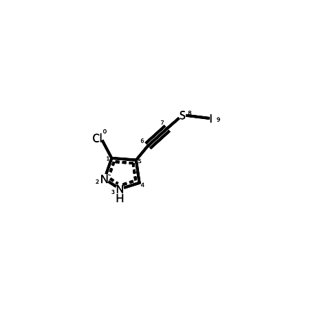 Clc1n[nH]cc1C#CSI